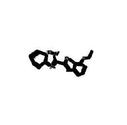 CCOc1cccc2cc(/C(=N/c3ccccc3)NO)oc12